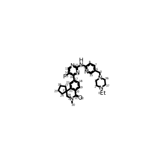 CCN1CCN(Cc2ccc(Nc3ncc(F)c(-c4ccc5c(c4)C4(CCCC4)CN(C)C5=O)n3)nc2)CC1